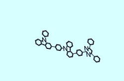 c1ccc(-c2cc(-c3ccccc3)nc(-c3ccc(-c4cccc5c4c4ccccc4n5-c4ccc(-c5ccc6c7ccccc7n(-c7ccccc7)c6c5)cc4)cc3)n2)cc1